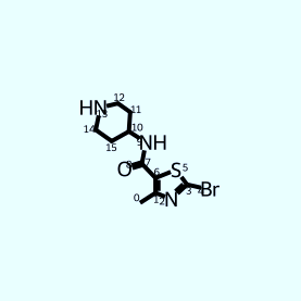 Cc1nc(Br)sc1C(=O)NC1CCNCC1